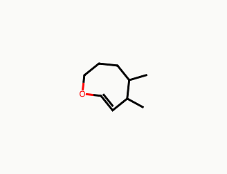 CC1/C=C/OCCCC1C